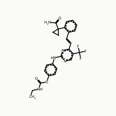 CCNC(=O)Oc1ccc(Nc2ncc(C(F)(F)F)c(C=Cc3ccccc3C3(C(N)=O)CC3)n2)cc1